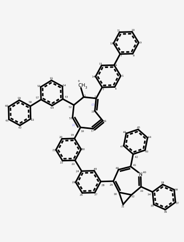 CC1/C(c2ccc(-c3ccccc3)cc2)=C/C#C/C(c2cccc(-c3cccc(C4=C5CC5C(c5ccccc5)=NC(c5ccccc5)=C4)c3)c2)=C\C1c1cccc(-c2ccccc2)c1